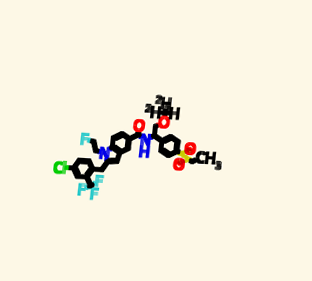 [2H]C([2H])([2H])OCC(NC(=O)c1ccc2c(c1)cc(Cc1ccc(Cl)cc1C(F)(F)F)n2CCF)c1ccc(S(=O)(=O)CC)cc1